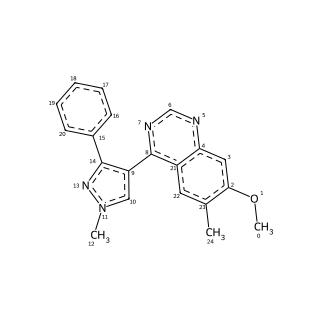 COc1cc2ncnc(-c3cn(C)nc3-c3ccccc3)c2cc1C